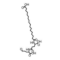 O=CCCC(NC(=O)CCC(NC(=O)CCCCCCCCCCCCCCCCC(=O)O)C(=O)O)C(=O)O